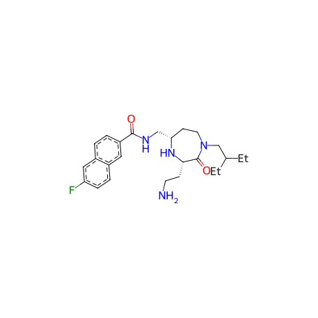 CCC(CC)CN1CC[C@@H](CNC(=O)c2ccc3cc(F)ccc3c2)N[C@@H](CCN)C1=O